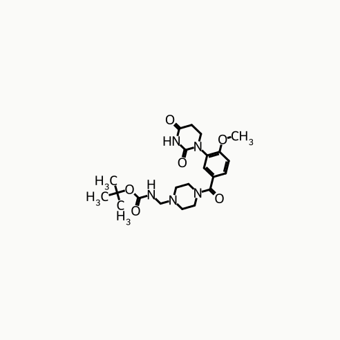 COc1ccc(C(=O)N2CCN(CNC(=O)OC(C)(C)C)CC2)cc1N1CCC(=O)NC1=O